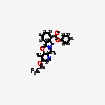 Cc1cc(C(C)N2CC3=C(C=C=CC=C3C(=O)Oc3ccccc3)C2=O)ncc1OCC(F)(F)F